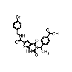 CC(c1ccc(C(=O)O)cc1)n1c(=O)[nH]c2sc(C(=O)NCc3ccc(Br)cc3)cc2c1=O